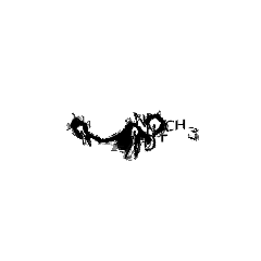 CC1(F)CCCc2nc3cc(C#Cc4ccccn4)cnc3c(=O)n2C1